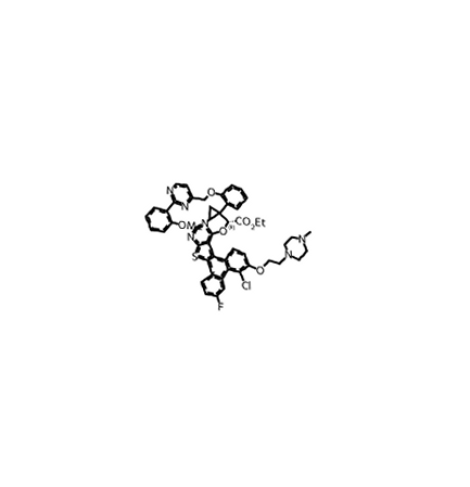 CCOC(=O)[C@H](Oc1ncnc2sc3c4ccc(F)cc4c4c(Cl)c(OCCN5CCN(C)CC5)ccc4c3c12)C1(c2ccccc2OCc2ccnc(-c3ccccc3OC)n2)CC1